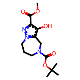 COC(=O)c1nn2c(c1O)CN(C(=O)OC(C)(C)C)CCC2